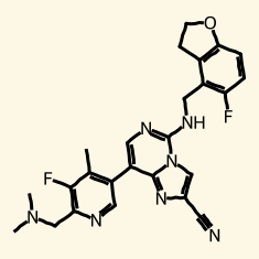 Cc1c(-c2cnc(NCc3c(F)ccc4c3CCO4)n3cc(C#N)nc23)cnc(CN(C)C)c1F